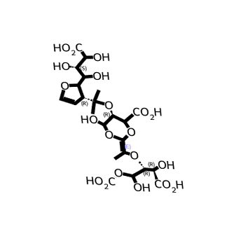 C/C(O[C@@H](C(O)OC(=O)O)[C@@H](O)C(=O)O)=C1\OC(O)[C@H](OC(C)(C)[C@@H]2C=COC2C(O)[C@H](O)C(O)C(=O)O)C(C(=O)O)O1